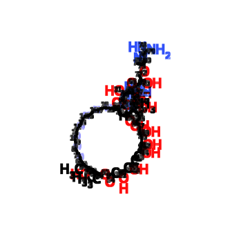 C[C@@H]1[C@H](O)[C@@H](C)/C=C/C=C/C=C/C=C/C=C/C=C/C=C/[C@H](O[C@@H]2O[C@H](C)[C@@H](O)[C@H](N)[C@@H]2O)C[C@@H]2O[C@](O)(C[C@@H](O)C[C@@H](O)[C@H](O)CC[C@@H](O)C[C@@H](O)CC(=O)O[C@H]1C)C[C@H](O)[C@H]2NC(=O)NNC(=O)[C@H](O)COc1cnn(C(=N)N)c1